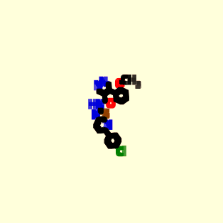 COc1ccccc1-c1cnncc1C(=O)Nc1nc2ccc(-c3ccc(Cl)cc3)nc2s1